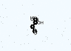 O=c1[nH]cnc2c(O)cc(-c3cccc(N4CCOCC4)c3)cc12